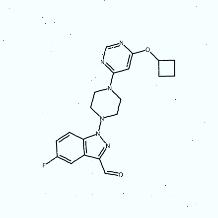 O=Cc1nn(N2CCN(c3cc(OC4CCC4)ncn3)CC2)c2ccc(F)cc12